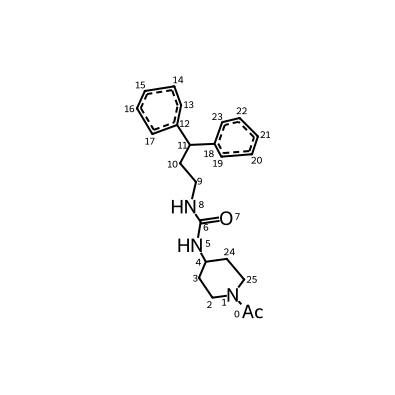 CC(=O)N1CCC(NC(=O)NCCC(c2ccccc2)c2ccccc2)CC1